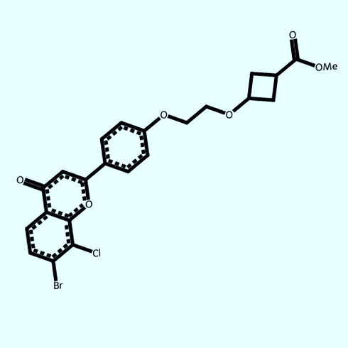 COC(=O)C1CC(OCCOc2ccc(-c3cc(=O)c4ccc(Br)c(Cl)c4o3)cc2)C1